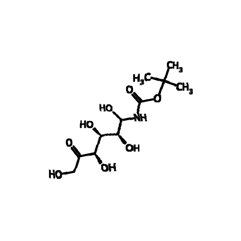 CC(C)(C)OC(=O)NC(O)[C@@H](O)[C@H](O)[C@@H](O)C(=O)CO